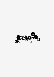 N[C@@H](C(=O)N1CCN(Cc2ccccc2OCC(F)(F)F)CC1)C1CCN(CCc2cc(Cl)ccc2-c2ccccc2)CC1